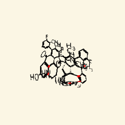 CNCC[C@]1(C(=O)[C@@]2(CCNC)C(F)=C(C)C(c3cccc(F)c3C)=C(C(=O)c3cccc(O)c3)[C@@H]2C2CCCNC2)C(F)=C(C)C(c2cccc(F)c2C)=C(C(=O)c2cccc(O)c2)[C@@H]1C1CCCNC1